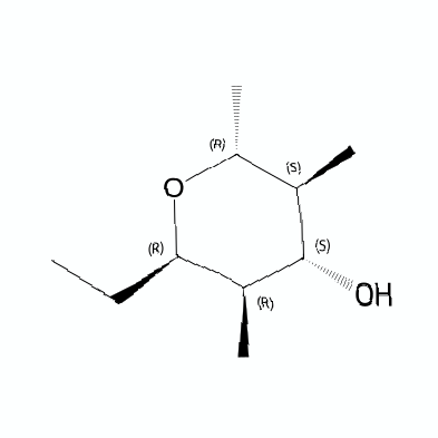 CC[C@H]1O[C@H](C)[C@@H](C)[C@H](O)[C@H]1C